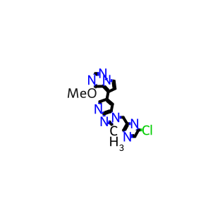 COc1ncnn2ccc(-c3cnc4nc(C)n(Cc5cncc(Cl)n5)c4c3)c12